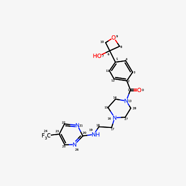 O=C(c1ccc(C2(O)COC2)cc1)N1CCN(CCNc2ncc(C(F)(F)F)cn2)CC1